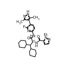 CCn1nccc1C(=O)N[C@@H](C(=O)Nc1ccc(-c2c(C)n[nH]c2C)c(F)n1)C(C1CCCCC1)C1CCCCC1